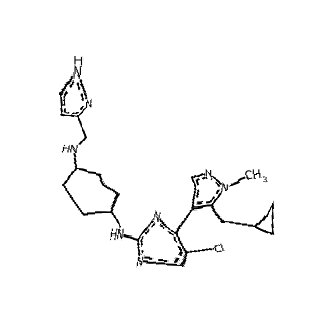 Cn1ncc(-c2nc(NC3CCC(NCc4cc[nH]n4)CC3)ncc2Cl)c1CC1CC1